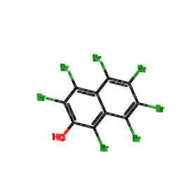 Oc1c(Br)c(Br)c2c(Br)c(Br)c(Br)c(Br)c2c1Br